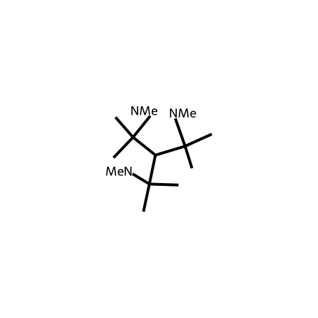 CNC(C)(C)C(C(C)(C)NC)C(C)(C)NC